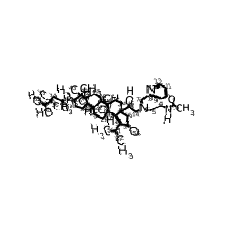 CC(=O)NCCN(Cc1ccccn1)C[C@H](O)[C@@]12CC[C@]3(C)[C@H](CC[C@@H]4[C@@]5(C)CC[C@@H](OC(=O)CC(C)(C)C(=O)O)C(C)(C)[C@@H]5CC[C@]43C)C1=C(C(C)C)C(=O)C2